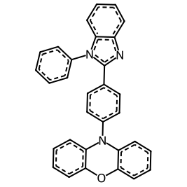 c1ccc(-n2c(-c3ccc(N4c5ccccc5Oc5ccccc54)cc3)nc3ccccc32)cc1